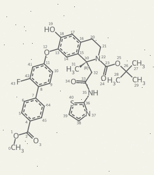 COC(=O)c1ccc(-c2ccc(Oc3cc4c(cc3O)CCN(C(=O)OC(C)(C)C)[C@]4(C)CC(=O)Nc3nccs3)cc2F)cc1